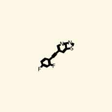 Fc1ccc(C#Cc2cnc3ncsc3c2)c(F)c1